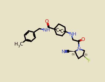 Cc1ccc(CNC(=O)C23CCC(NCC(=O)N4C[C@@H](F)C[C@H]4C#N)(CC2)CC3)cc1